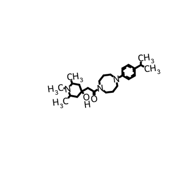 CC(C)c1ccc(N2CCCN(C(=O)CC3(O)CC(C)N(C)C(C)C3)CCC2)cc1